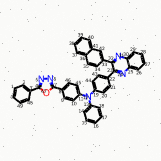 c1ccc(-c2nnc(-c3ccc(N(c4ccccc4)c4ccc(-c5nc6ccccc6nc5-c5ccc6ccccc6c5)cc4)cc3)o2)cc1